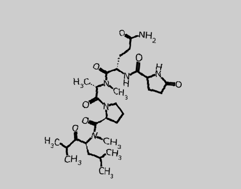 CC(C)C[C@@H](C(=O)C(C)C)N(C)C(=O)[C@@H]1CCCN1C(=O)[C@H](C)N(C)C(=O)[C@H](CCC(N)=O)NC(=O)C1CCC(=O)N1